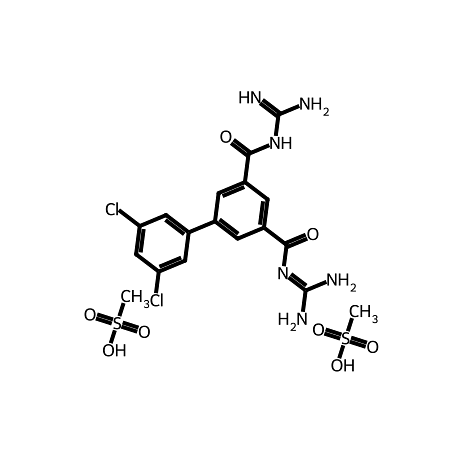 CS(=O)(=O)O.CS(=O)(=O)O.N=C(N)NC(=O)c1cc(C(=O)N=C(N)N)cc(-c2cc(Cl)cc(Cl)c2)c1